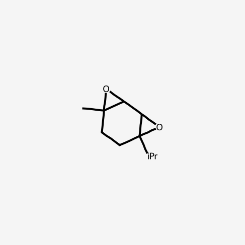 CC(C)C12CCC3(C)OC3C1O2